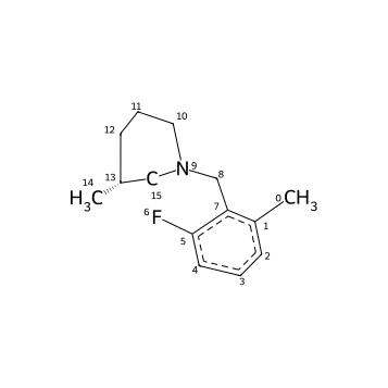 Cc1cccc(F)c1CN1CCC[C@@H](C)C1